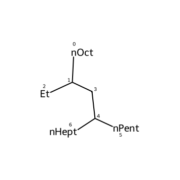 CCCCCCCCC(CC)CC(CCCCC)CCCCCCC